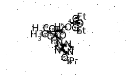 CCOP(=O)(COC[C@H]1O[C@@H](n2cnc3c(OC(C)C)ncnc32)[C@@H]2OC(C)(C)O[C@@H]21)OCC